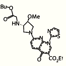 CCOC(=O)c1cn(-c2nccs2)c2nc(N3C[C@H](NCC(=O)OC(C)(C)C)[C@@H](OC)C3)ccc2c1=O